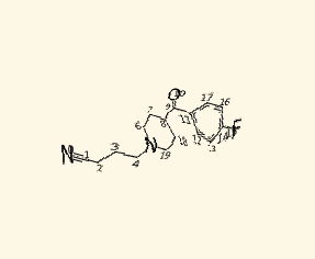 N#CCCCN1CCC(C(=O)c2ccc(F)cc2)CC1